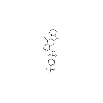 O=C(c1cccc(NS(=O)(=O)c2ccc(C(F)(F)F)cc2)c1F)c1c[nH]c2nccnc12